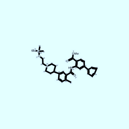 COC(=O)c1ccc(-c2ccccc2)cc1NC(=O)c1cc(C2CCN(CCO[Si](C)(C)C(C)(C)C)CC2)ccc1C